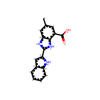 Cc1cc(C(=O)O)c2[nH]c(-c3cc4ccccc4[nH]3)nc2c1